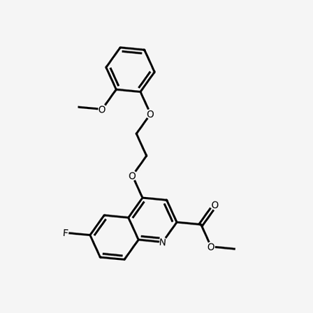 COC(=O)c1cc(OCCOc2ccccc2OC)c2cc(F)ccc2n1